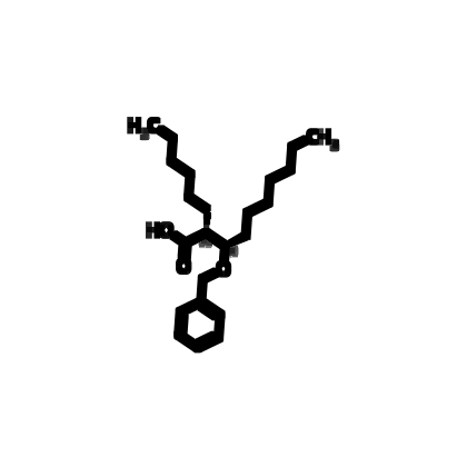 CCCCCCC[C@@H](OCc1ccccc1)[C@@H](CCCCCC)C(=O)O